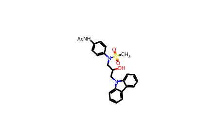 CC(=O)Nc1ccc(N(CC(O)Cn2c3ccccc3c3ccccc32)S(C)(=O)=O)cc1